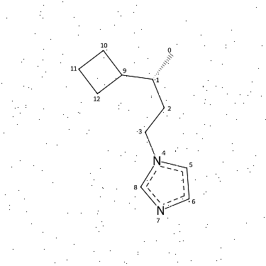 C[C@H](CCn1c[c]nc1)C1CCC1